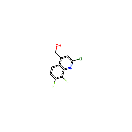 OCc1cc(Cl)nc2c(F)c(F)ccc12